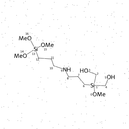 CO[Si](CO)(CO)CCCNCCC[Si](OC)(OC)OC